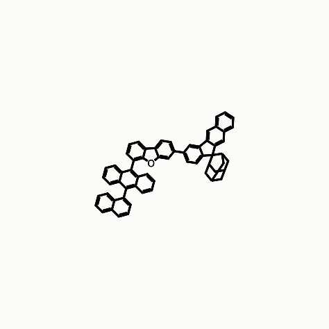 c1ccc2cc3c(cc2c1)-c1cc(-c2ccc4c(c2)oc2c(-c5c6ccccc6c(-c6cccc7ccccc67)c6ccccc56)cccc24)ccc1C31C2CC3CC(C2)CC1C3